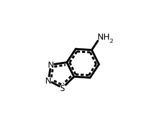 Nc1ccc2snnc2c1